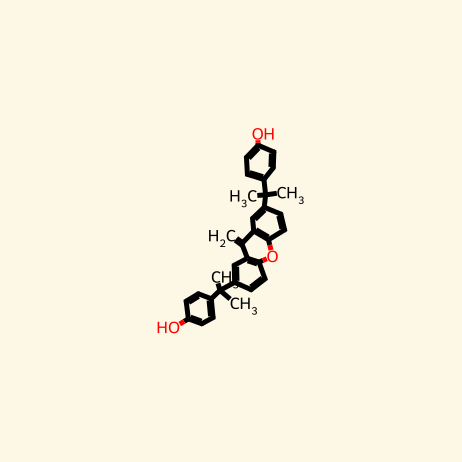 C=C1c2cc(C(C)(C)c3ccc(O)cc3)ccc2Oc2ccc(C(C)(C)c3ccc(O)cc3)cc21